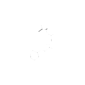 C=C(C)C(=O)OC(C)COC(C)COC1CCCCC1